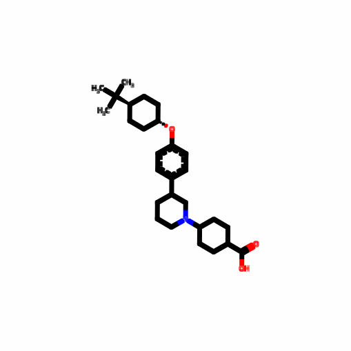 CC(C)(C)[C@H]1CC[C@H](Oc2ccc(C3CCCN(C4CCC(C(=O)O)CC4)C3)cc2)CC1